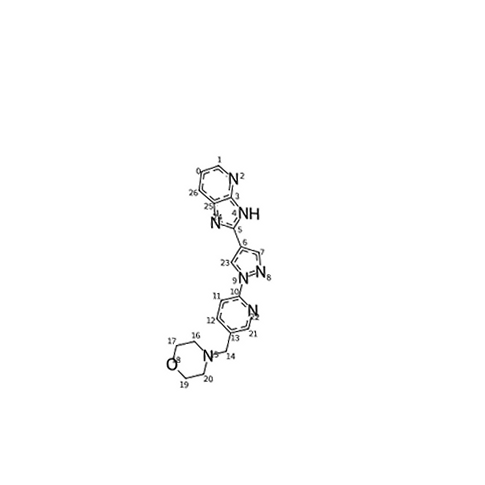 c1cnc2[nH]c(-c3cnn(-c4ccc(CN5CCOCC5)cn4)c3)nc2c1